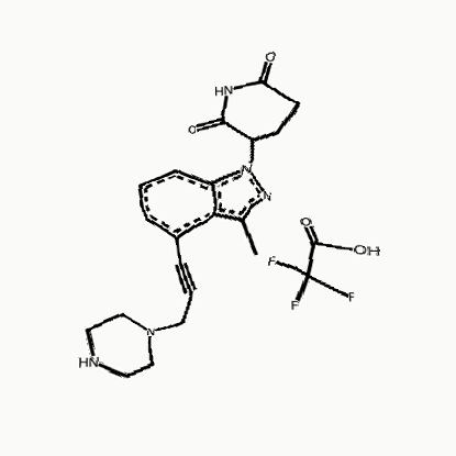 Cc1nn(C2CCC(=O)NC2=O)c2cccc(C#CCN3CCNCC3)c12.O=C(O)C(F)(F)F